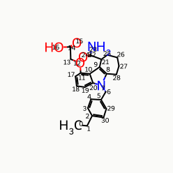 CCc1ccc(Cn2c3c(c4c(OCC(=O)O)cccc42)C(C(N)=O)CCCC3)cc1